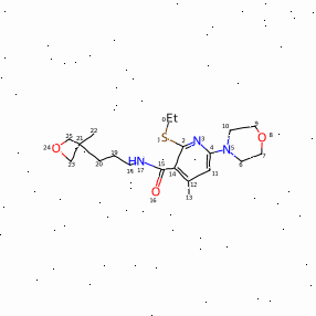 CCSc1nc(N2CCOCC2)cc(C)c1C(=O)NCCCC1(C)COC1